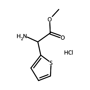 COC(=O)C(N)c1cccs1.Cl